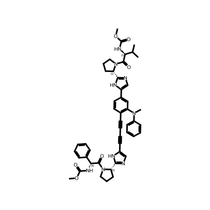 COC(=O)N[C@H](C(=O)N1CCC[C@H]1c1ncc(-c2ccc(C#CC#Cc3cnc([C@@H]4CCCN4C(=O)[C@H](NC(=O)OC)c4ccccc4)[nH]3)c(N(C)c3ccccc3)c2)[nH]1)C(C)C